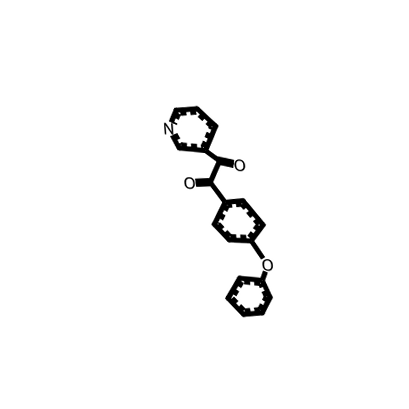 O=C(C(=O)c1cccnc1)c1ccc(Oc2ccccc2)cc1